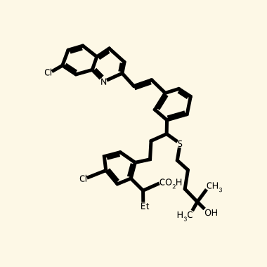 CCC(C(=O)O)c1cc(Cl)ccc1CCC(SCCCC(C)(C)O)c1cccc(/C=C/c2ccc3ccc(Cl)cc3n2)c1